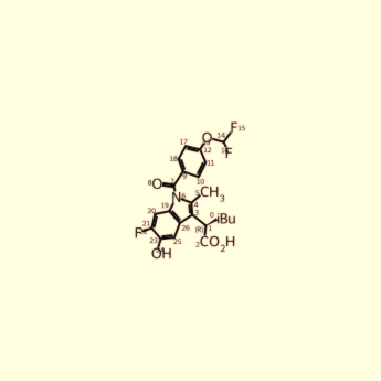 CCC(C)[C@@H](C(=O)O)c1c(C)n(C(=O)c2ccc(OC(F)F)cc2)c2cc(F)c(O)cc12